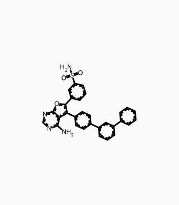 Nc1ncnc2oc(-c3cccc(S(N)(=O)=O)c3)c(-c3ccc(-c4cccc(-c5ccccc5)c4)cc3)c12